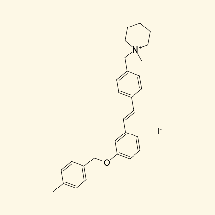 Cc1ccc(COc2cccc(/C=C/c3ccc(C[N+]4(C)CCCCC4)cc3)c2)cc1.[I-]